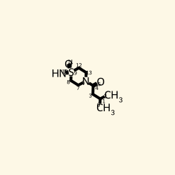 CC(C)CC(=O)N1CCS(=N)(=O)CC1